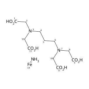 N.O=C(O)CN(CCCN(CC(=O)O)CC(=O)O)CC(=O)O.[Fe]